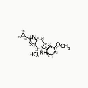 COc1cccc(C2(N)CCc3nc(C4CC4)sc3C2)c1.Cl